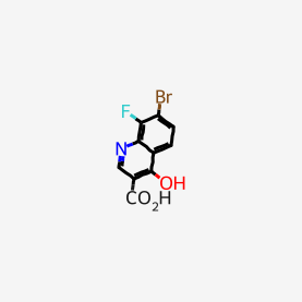 O=C(O)c1cnc2c(F)c(Br)ccc2c1O